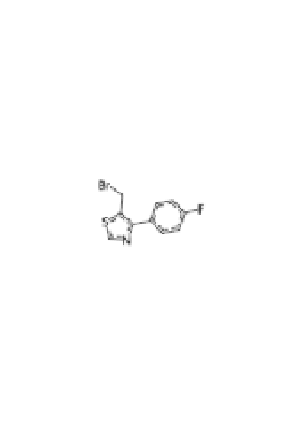 Fc1ccc(-c2ncsc2CBr)cc1